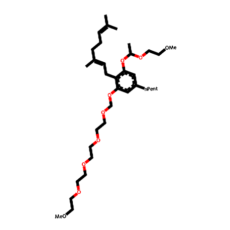 CCCCCc1cc(OCOCCOCCOCCOCCOC)c(C/C=C(\C)CCC=C(C)C)c(OC(C)OCCOC)c1